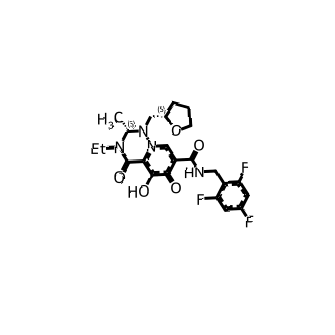 CCN1C(=O)c2c(O)c(=O)c(C(=O)NCc3c(F)cc(F)cc3F)cn2N(C[C@@H]2CCCO2)[C@H]1C